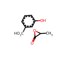 CC1OC1=O.O=C(O)c1cccc(O)c1